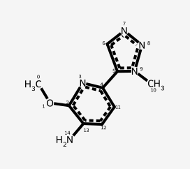 COc1nc(-c2cnnn2C)ccc1N